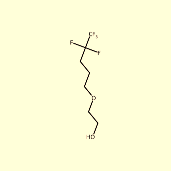 OCCOCCCC(F)(F)C(F)(F)F